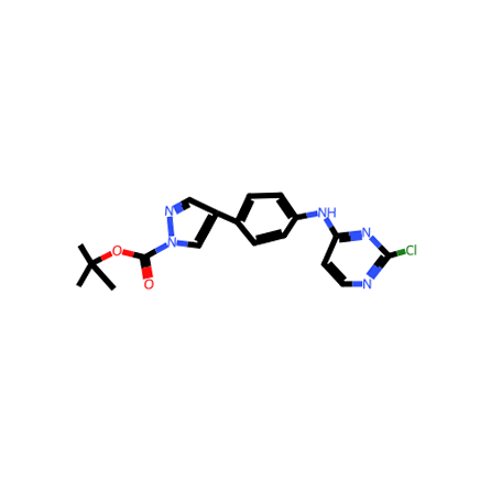 CC(C)(C)OC(=O)n1cc(-c2ccc(Nc3ccnc(Cl)n3)cc2)cn1